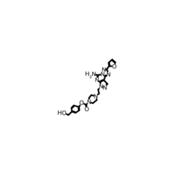 Nc1nc2c(cnn2CCN2CCN(C(=O)Oc3ccc(CO)cc3)CC2)c2nc(-c3ccco3)nn12